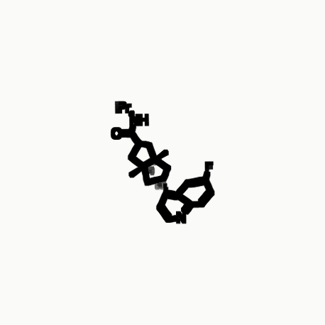 CC(C)NC(=O)C1C[C@@]2(C)C[C@@H](c3ccnc4ccc(F)cc34)C[C@@]2(C)C1